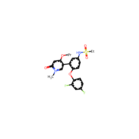 CCS(=O)(=O)Nc1ccc(Oc2ccc(F)cc2F)c(-c2cn(C)c(=O)cc2OC(C)C)c1